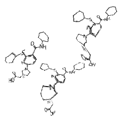 O=C(O)C[C@@H]1CCCN(c2ccc(C(=O)NC3CCCCC3)c(SC3CCCC3)n2)C1.O=C(O)C[C@@H]1CCN(c2ccc(C(=O)NC3CCCCC3)c(SC3CCCC3)n2)C1.O=C(O)C[C@H]1CCCN(c2ccc(C(=O)NC3CCCCC3)c(SC3CCCCC3)n2)C1